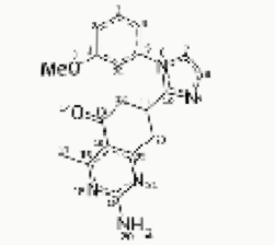 COc1cccc(-n2ccnc2C2CC(=O)c3c(C)nc(N)nc3C2)c1